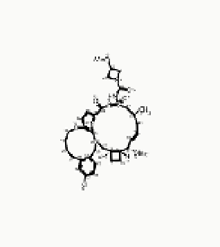 COC1CN(C(=O)NS2(=O)=NC(=O)c3ccc4c(n3)N(Cc3ccc(Cl)cc3CCCCO4)C[C@@H]3CC[C@H]3[C@@H](OC)/C=C/C[C@H](C)C2)C1